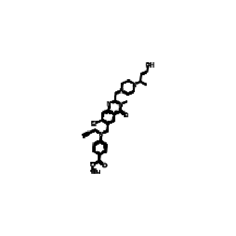 C#CCN(Cc1cc2c(=O)n(C)c(CN3CCN(C(C)CCO)CC3)nc2cc1Cl)c1ccc(C(=O)OC(C)(C)C)cc1